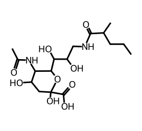 CCCC(C)C(=O)NCC(O)C(O)C1OC(O)(C(=O)O)CC(O)C1NC(C)=O